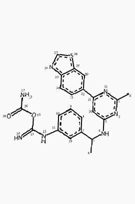 Cc1nc(NC(C)c2cccc(NC(=N)OC(N)=O)c2)cc(-c2ccc3ncsc3c2)n1